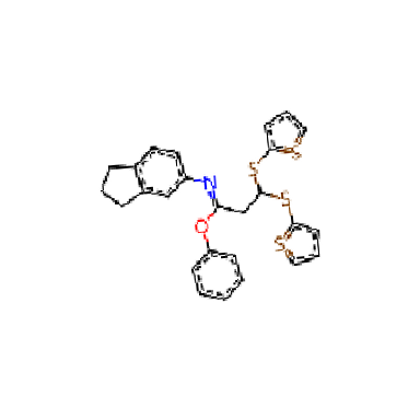 c1ccc(OC(CC(Sc2cccs2)Sc2cccs2)=Nc2ccc3c(c2)CCC3)cc1